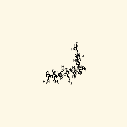 CC(N)c1ccc(F)cc1Cl.CCNc1ccc(C(F)(F)F)cc1C(F)(F)F.C[C@H](N)c1ccc(NC(=O)c2csnn2)cc1.Cc1ccc(CCN)c(C)c1.NCCc1cc(C(F)(F)F)ccc1F.NCCc1cc(F)cc(C(F)(F)F)c1.NCCc1ccc(C(F)(F)F)cc1F.NCCc1ccc(Cl)cc1Cl